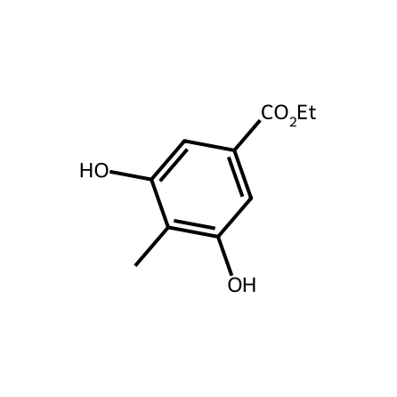 CCOC(=O)c1cc(O)c(C)c(O)c1